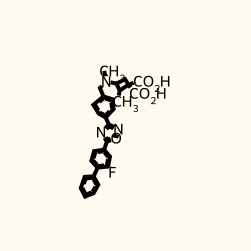 CC1C(N(C)Cc2ccc(-c3noc(-c4ccc(-c5ccccc5)c(F)c4)n3)cc2)CC1(C(=O)O)C(=O)O